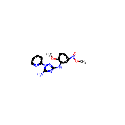 COc1ccc([N+](=O)OC)cc1Nc1nc(N)n(-c2ccccn2)n1